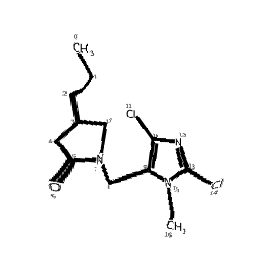 CCCC1CC(=O)N(Cc2c(Cl)nc(Cl)n2C)C1